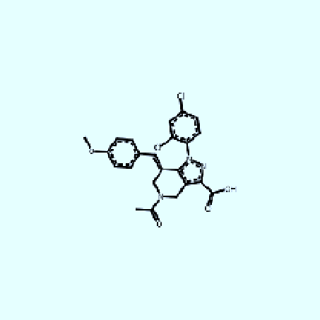 COc1ccc(/C=C2\CN(C(C)=O)Cc3c(C(=O)O)nn(-c4ccc(Cl)cc4Cl)c32)cc1